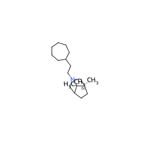 CC1(C)C2CC[C@]1(C)CN(CCC1CCCCCC1)C2